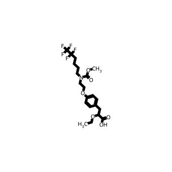 CCOC(Cc1ccc(OCCN(CCCCC(F)(F)C(F)(F)F)C(=O)OC)cc1)C(=O)O